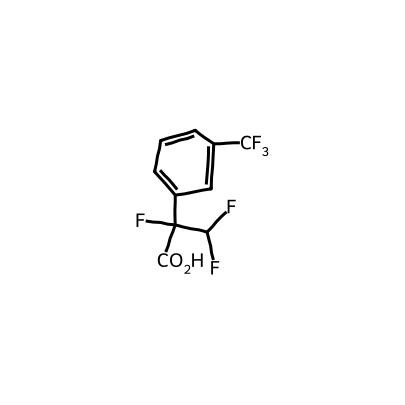 O=C(O)C(F)(c1cccc(C(F)(F)F)c1)C(F)F